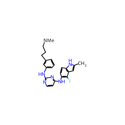 CNCCCc1cccc(Nc2nccc(Nc3ccc4[nH]c(C)cc4c3F)n2)c1